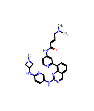 CC(=O)N1CC(Nc2ccc(Nc3ncc4cccc(-c5cc(NC(=O)C=CCN(C)C)ccn5)c4n3)cn2)C1